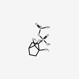 CC1(C)C2CCC1(C)C(P(=O)(O)O[PH](=O)O)C2